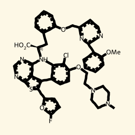 COc1ccccc1-c1nccc(COc2ccccc2C[C@@H](Nc2ncnc3sc(-c4ccc(F)o4)c(-c4ccc(OCCN5CCN(C)CC5)c(Cl)c4C)c23)C(=O)O)n1